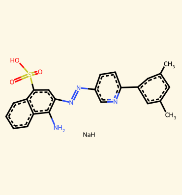 Cc1cc(C)cc(-c2ccc(N=Nc3cc(S(=O)(=O)O)c4ccccc4c3N)cn2)c1.[NaH]